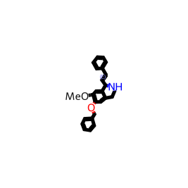 COc1cc2c(cc1OCc1ccccc1)CCNC2/C=C/c1ccccc1